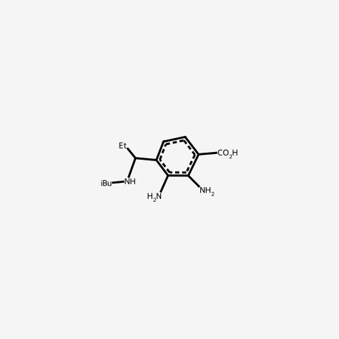 CCC(C)NC(CC)c1ccc(C(=O)O)c(N)c1N